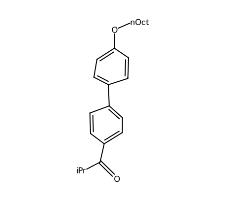 CCCCCCCCOc1ccc(-c2ccc(C(=O)C(C)C)cc2)cc1